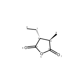 CC[C@H]1C(=O)OC(=O)[C@@H]1C